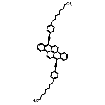 CCCCCCCOc1ccc(C#Cc2c3ccccc3c3ccc4c(C#Cc5ccc(OCCCCCCC)cc5)c5ccccc5c5ccc2c3c45)cc1